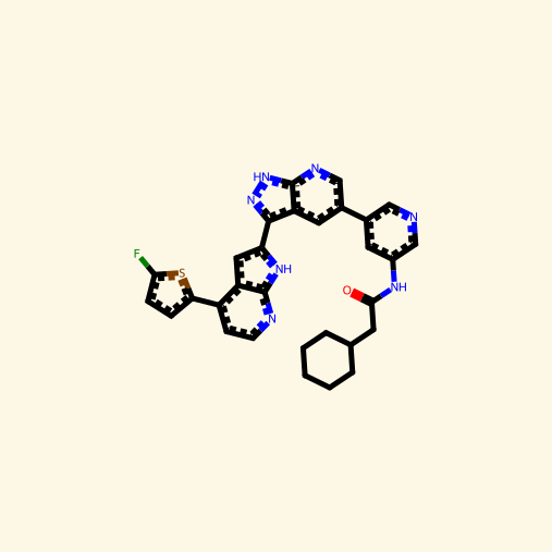 O=C(CC1CCCCC1)Nc1cncc(-c2cnc3[nH]nc(-c4cc5c(-c6ccc(F)s6)ccnc5[nH]4)c3c2)c1